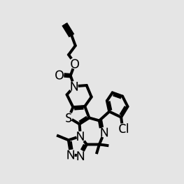 C#CCCOC(=O)N1CCc2c(sc3c2C(c2ccccc2Cl)=NC(C)(C)c2nnc(C)n2-3)C1